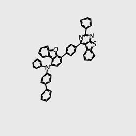 c1ccc(-c2ccc(N(c3ccccc3)c3ccc(-c4ccc(-c5nc(-c6ccccc6)nc6sc7ccccc7c56)cc4)c4oc5ccccc5c34)cc2)cc1